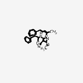 COc1nn(C(C)CCCc2ccccc2)c(NC(=O)Cc2ccccc2)c1C#N